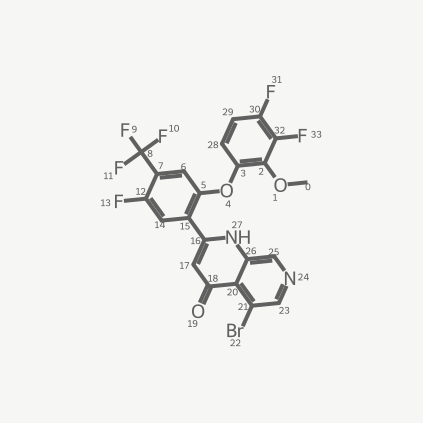 COc1c(Oc2cc(C(F)(F)F)c(F)cc2-c2cc(=O)c3c(Br)cncc3[nH]2)ccc(F)c1F